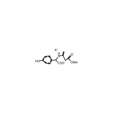 C=C(CC(=O)OC)NC(C(=O)[O-])c1ccc(O)cc1.[K+]